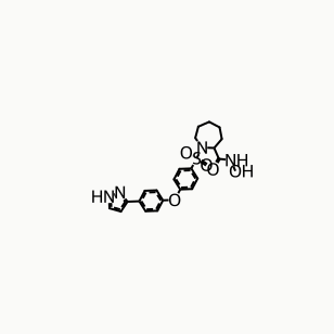 O=C(NO)C1CCCCCN1S(=O)(=O)c1ccc(Oc2ccc(-c3cc[nH]n3)cc2)cc1